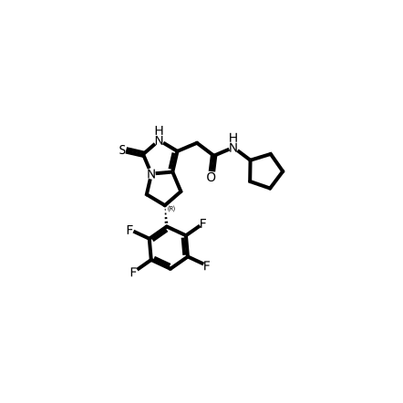 O=C(Cc1[nH]c(=S)n2c1C[C@H](c1c(F)c(F)cc(F)c1F)C2)NC1CCCC1